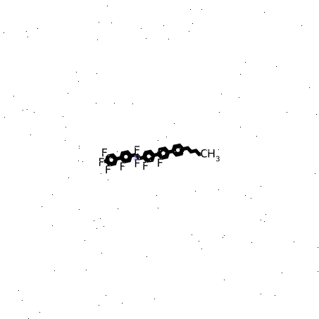 CCCCCc1ccc(-c2ccc(-c3ccc(/C(F)=C(\F)c4ccc(-c5cc(F)c(F)c(F)c5)c(F)c4)c(F)c3)c(F)c2)cc1